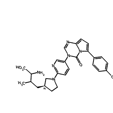 CC(C[C@@H]1CCN(c2ccc(-n3cnc4ccc(-c5ccc(Cl)cc5)n4c3=O)cn2)C1)C(N)C(=O)O